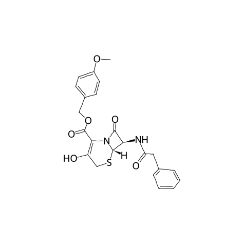 COc1ccc(COC(=O)C2=C(O)CS[C@H]3[C@H](NC(=O)Cc4ccccc4)C(=O)N23)cc1